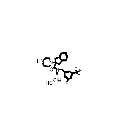 CN(Cc1cc(F)cc(C(F)(F)F)c1)C(=O)C1(N2CCNCC2)Cc2ccccc2C1.Cl.Cl